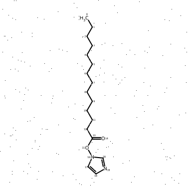 CCCCCCCCCCCCCC(=O)On1ccnc1